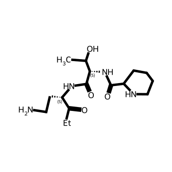 CCC(=O)[C@H](CCN)NC(=O)[C@@H](NC(=O)C1CCCCN1)C(C)O